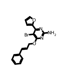 Nc1nc(OC/C=C/c2ccccc2)c(Br)c(-c2ccco2)n1